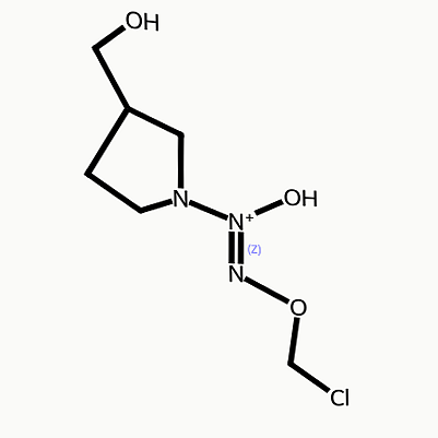 OCC1CCN(/[N+](O)=N/OCCl)C1